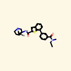 CCN(C)C(=O)c1cccc(-c2cccc3cc(C(=O)N[C@H]4CN5CCC4CC5)sc23)c1